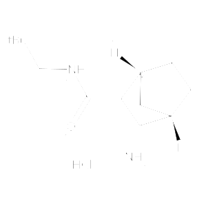 CC(C)(C)CNC(=O)[C@@H]1[C@@H]2CC[C@@H](C2)[C@@H]1N.Cl